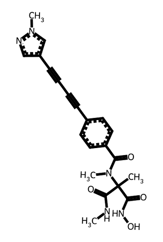 CNC(=O)C(C)(C(=O)NO)N(C)C(=O)c1ccc(C#CC#Cc2cnn(C)c2)cc1